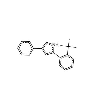 CC(C)(C)c1ccccc1-c1cc(-c2ccccc2)c[nH]1